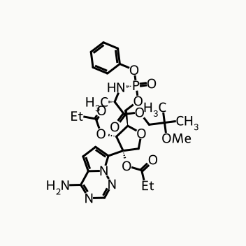 CCC(=O)O[C@@H]1[C@@H](CO[P@@](=O)(N[C@@H](C)C(=O)OCC(C)(C)OC)Oc2ccccc2)OC[C@@]1(OC(=O)CC)c1ccc2c(N)ncnn12